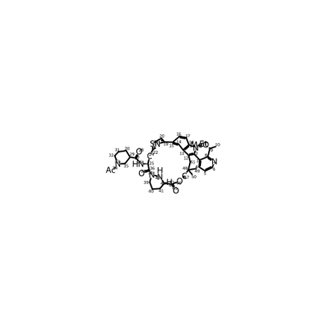 CCn1c(-c2cccnc2[C@H](C)OC)c2c3cc(ccc31)-c1csc(n1)C[C@H](NC(=O)C1CCCN(C(C)=O)C1)C(=O)N1CCC[C@H](N1)C(=O)OCC(C)(C)C2